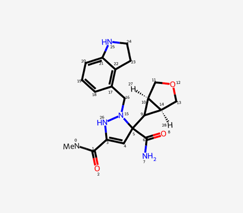 CNC(=O)C1=CC(C(N)=O)(C2[C@H]3COC[C@@H]23)N(Cc2cccc3c2CCN3)N1